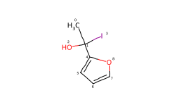 CC(O)(I)c1ccco1